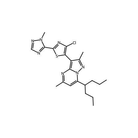 CCCC(CCC)c1cc(C)nc2c(-c3sc(-c4ncnn4C)nc3Cl)c(C)nn12